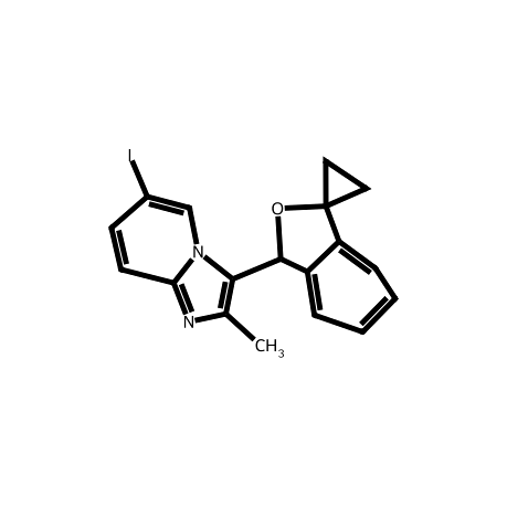 Cc1nc2ccc(I)cn2c1C1OC2(CC2)c2ccccc21